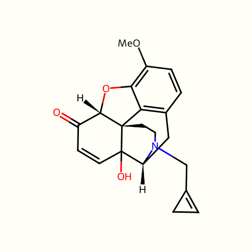 COc1ccc2c3c1O[C@H]1C(=O)C=CC4(O)[C@@H](C2)N(CC2=CC2)CC[C@]314